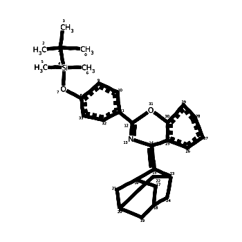 CC(C)(C)[Si](C)(C)Oc1ccc(C2=NC(=C3C4CC5CC(C4)CC3C5)c3ccccc3O2)cc1